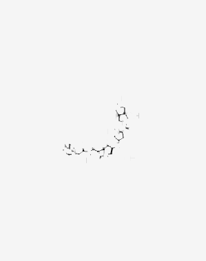 C[C@@H](NC(=O)Cn1cnnn1)[C@H]1C(=O)N2C(C(=O)O)=C(S[C@@H]3CN[C@H](C(=O)N4C[C@H]5CNC[C@@]5(CO)C4)C3)[C@H](C)[C@H]12